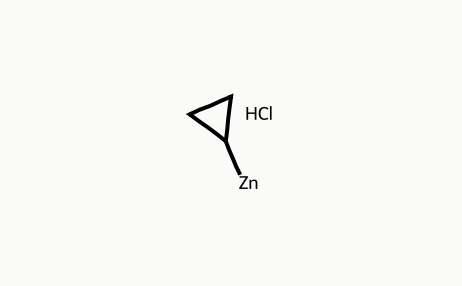 Cl.[Zn][CH]1CC1